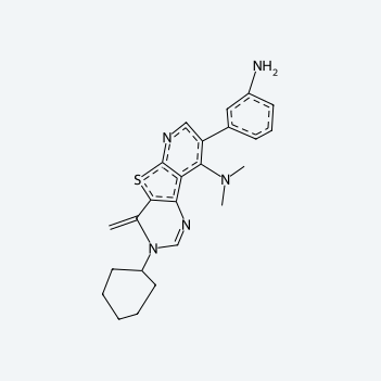 C=C1c2sc3ncc(-c4cccc(N)c4)c(N(C)C)c3c2N=CN1C1CCCCC1